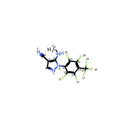 CNc1c(C#N)cnn1-c1c(F)c(F)c(C(F)(F)F)c(F)c1F